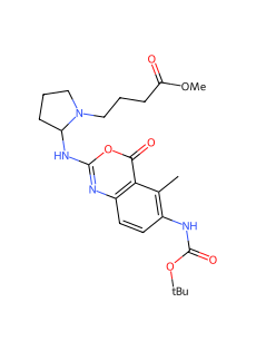 COC(=O)CCCN1CCCC1Nc1nc2ccc(NC(=O)OC(C)(C)C)c(C)c2c(=O)o1